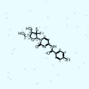 CCc1ccc(C(=O)Nc2ccn(C3O[C@H](CO)[C@@H](O)C3(F)F)c(=O)n2)cc1